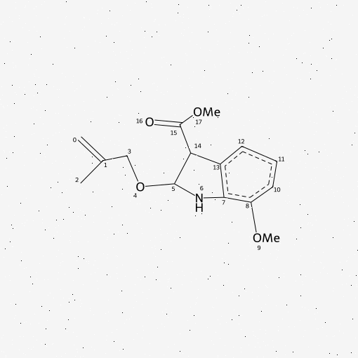 C=C(C)COC1Nc2c(OC)cccc2C1C(=O)OC